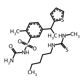 CCCCCNC(=S)NC.Cc1ccc(C(C)c2cccs2)cc1S(=O)(=O)NC(N)=O